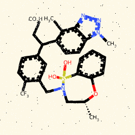 Cc1c(C(CC(=O)O)c2ccc(C(F)(F)F)c(CN3C[C@@H](C)Oc4ccccc4S3(O)O)c2)ccc2c1nnn2C